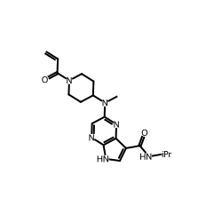 C=CC(=O)N1CCC(N(C)c2cnc3[nH]cc(C(=O)NC(C)C)c3n2)CC1